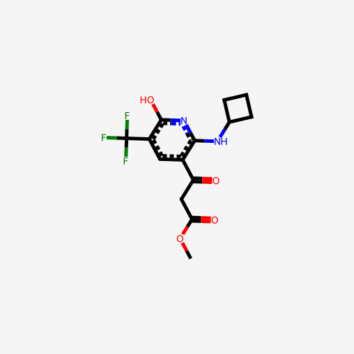 COC(=O)CC(=O)c1cc(C(F)(F)F)c(O)nc1NC1CCC1